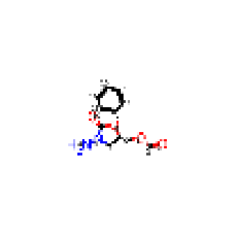 COC=O.NN1CCOC1=O.c1ccccc1